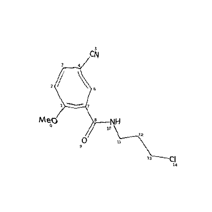 COc1ccc(C#N)cc1C(=O)NCCCCl